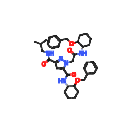 CC(C)CNC(=O)c1cc(C(=O)N[C@H]2CCCC[C@@H]2OCc2ccccc2)n(CC(=O)N[C@H]2CCCC[C@@H]2OCc2ccccc2)n1